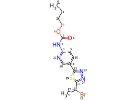 CCCCOC(=O)Nc1ccc(-c2nnc(C(C)Br)s2)cn1